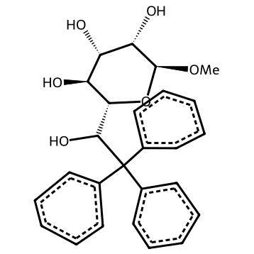 CO[C@H]1O[C@H](C(O)C(c2ccccc2)(c2ccccc2)c2ccccc2)[C@@H](O)[C@H](O)[C@@H]1O